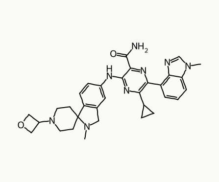 CN1Cc2cc(Nc3nc(C4CC4)c(-c4cccc5c4ncn5C)nc3C(N)=O)ccc2C12CCN(C1COC1)CC2